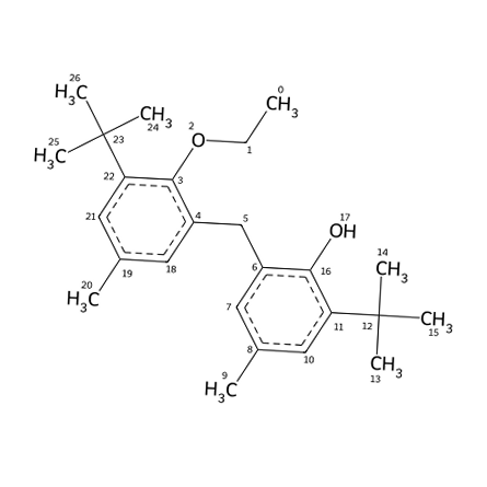 CCOc1c(Cc2cc(C)cc(C(C)(C)C)c2O)cc(C)cc1C(C)(C)C